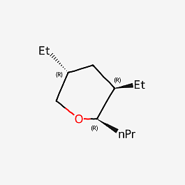 CCC[C@H]1OC[C@H](CC)C[C@H]1CC